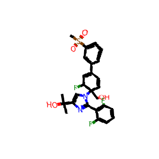 CC(C)(O)c1cn(C2(CO)C=CC(c3cccc(S(C)(=O)=O)c3)=CC2F)c(-c2c(F)cccc2F)n1